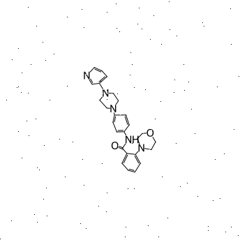 O=C(Nc1ccc(N2CCN(c3cccnc3)CC2)cc1)c1ccccc1N1CCOCC1